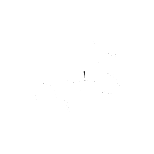 C=CC1CNCCC1CC1C[C@@]1(O)c1ccnc2ccc(OC)cc12